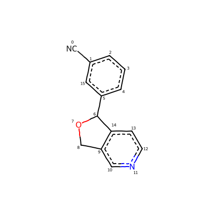 N#Cc1cccc(C2OCc3cnccc32)c1